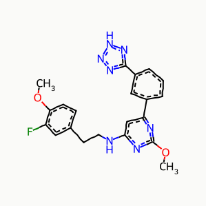 COc1nc(NCCc2ccc(OC)c(F)c2)cc(-c2cccc(-c3nn[nH]n3)c2)n1